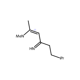 CN/C(C)=C\C(=N)CCC(C)C